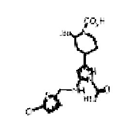 CC(C)(C)C(=O)n1nc(C2CCN(C(=O)O)C(C(C)(C)C)C2)cc1NCc1ccc(Cl)s1